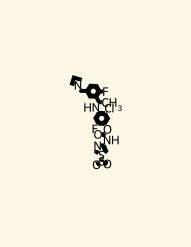 CC(Nc1cc(F)c(OC(=O)NC2=CS(=S(=O)=O)C=N2)cc1Cl)c1cc(CN2CCC2)ccc1F